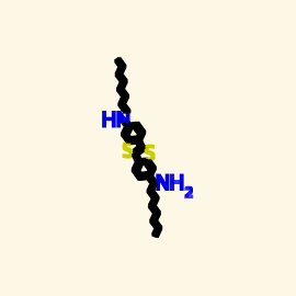 CCCCCCCCNc1ccc2c(c1)sc1c3ccc(C(N)CCCCCCC)cc3sc21